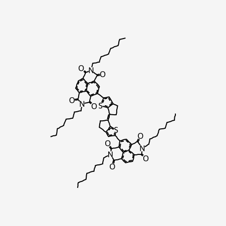 CCCCCCCCN1C(=O)c2ccc3c4c(c(-c5cc6c(s5)/C(=C5\CCc7cc(-c8cc9c%10c(ccc%11c%10c8C(=O)N(CCCCCCCC)C%11=O)C(=O)N(CCCCCCCC)C9=O)sc75)CC6)cc(c24)C1=O)C(=O)N(CCCCCCCC)C3=O